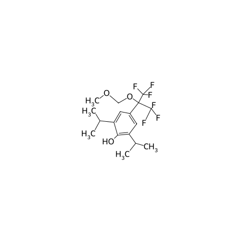 COCOC(c1cc(C(C)C)c(O)c(C(C)C)c1)(C(F)(F)F)C(F)(F)F